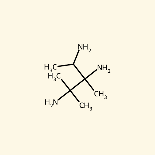 CC(N)C(C)(N)C(C)(C)N